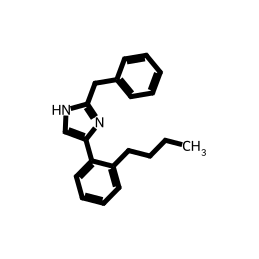 CCCCc1ccccc1-c1c[nH]c(Cc2ccccc2)n1